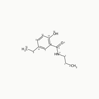 CCCNC(=O)c1cc(CC)ccc1O